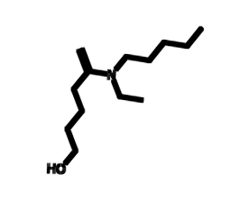 C=C(CCCCO)N(CC)CCCCC